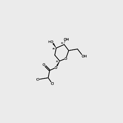 O=C(O[C@H]1C[C@@H](O)[C@H](O)C(CO)O1)C(Cl)Cl